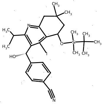 CC(C)c1nc2c(c(I)c1[C@@H](O)c1ccc(C#N)cc1)C(O[Si](C)(C)C(C)(C)C)CC(C)(C)C2